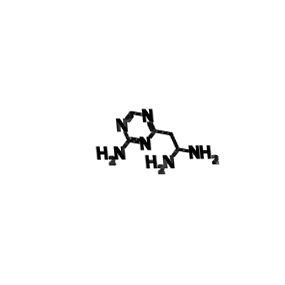 Nc1ncnc(CC(N)N)n1